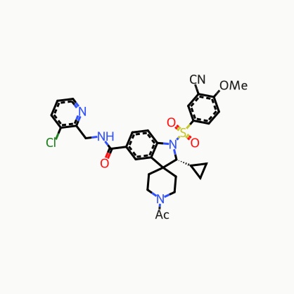 COc1ccc(S(=O)(=O)N2c3ccc(C(=O)NCc4ncccc4Cl)cc3C3(CCN(C(C)=O)CC3)[C@H]2C2CC2)cc1C#N